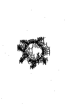 C=CCO/C1=C(/O)C(CCN=[N+]=[N-])OC(O)/C(O)=C(/O)C(CCC)OC(O)/C(O)=C(\O)C(CCN=[N+]=[N-])OC(O)C(O)C(O)C(CCN=[N+]=[N-])OC(O)/C(O)=C(\O)C(CCN=[N+]=[N-])OC2OC(CN=[N+]=[N-])C(OC(O)/C(O)=C(\O)C(CCN=[N+]=[N-])OC1O)C(O)C2O